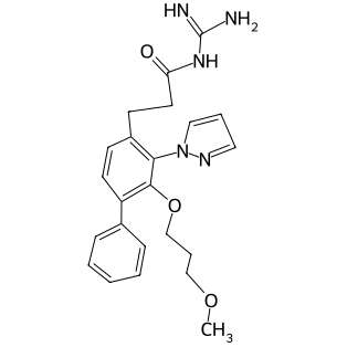 COCCCOc1c(-c2ccccc2)ccc(CCC(=O)NC(=N)N)c1-n1cccn1